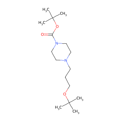 CC(C)(C)OCCCN1CCN(C(=O)OC(C)(C)C)CC1